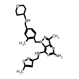 Cc1cc(CNc2nc(N)nc3c(C)nn(Cc4ccc(CNC5CCOCC5)cc4C)c23)no1